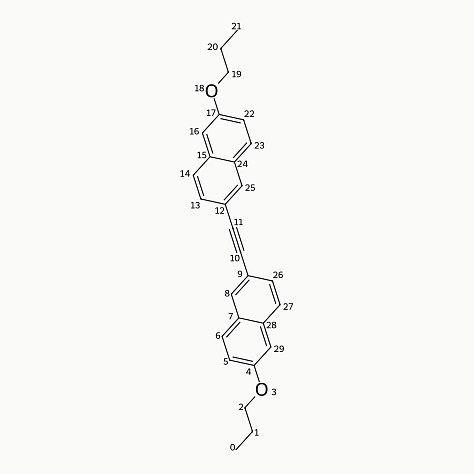 CCCOc1ccc2cc(C#Cc3ccc4cc(OCCC)ccc4c3)ccc2c1